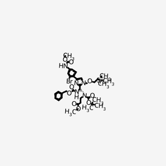 COC(=O)CCN(C[C@H](NC(=O)OCc1ccccc1)c1nc(-c2ccc(NC(=O)OC)cc2Br)cn1COCC[Si](C)(C)C)C(=O)OC(C)(C)C